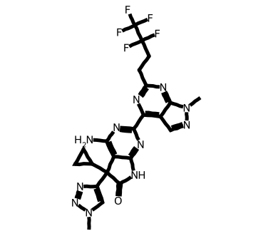 Cn1cc(C2(C3CC3)C(=O)Nc3nc(-c4nc(CCC(F)(F)C(F)(F)F)nc5c4cnn5C)nc(N)c32)nn1